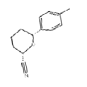 Cc1ccc([C@H]2CCC[C@@H](C#N)O2)cc1